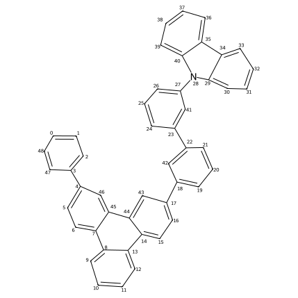 c1ccc(-c2ccc3c4ccccc4c4ccc(-c5cccc(-c6cccc(-n7c8ccccc8c8ccccc87)c6)c5)cc4c3c2)cc1